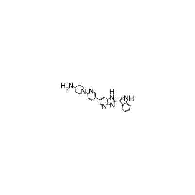 NC1CCN(c2ccc(-c3cnc4nc(-c5c[nH]c6ccccc56)[nH]c4c3)cn2)CC1